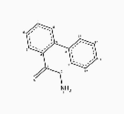 C=C(CN)c1ccccc1-c1ccccc1